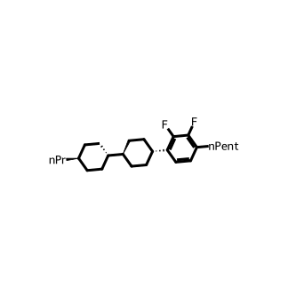 CCCCCc1ccc([C@H]2CC[C@H]([C@H]3CC[C@H](CCC)CC3)CC2)c(F)c1F